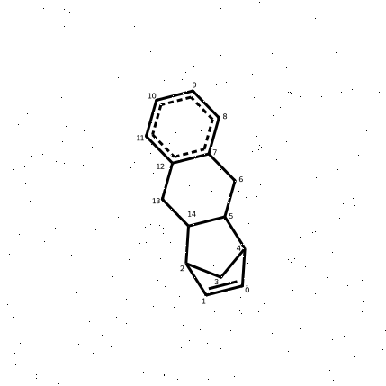 [C]1=CC2CC1C1Cc3ccccc3CC21